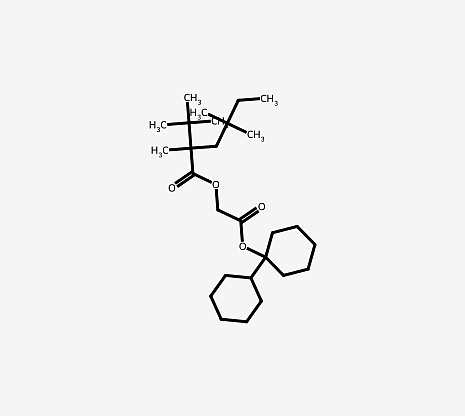 CCC(C)(C)CC(C)(C(=O)OCC(=O)OC1(C2CCCCC2)CCCCC1)C(C)(C)C